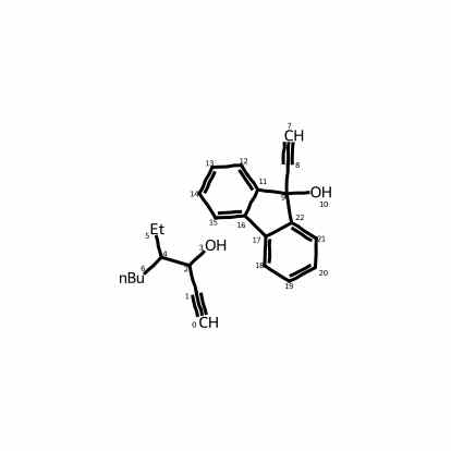 C#CC(O)C(CC)CCCC.C#CC1(O)c2ccccc2-c2ccccc21